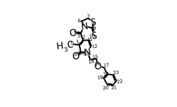 Cc1c(C(=O)N2CCSC2=S)ccn(CCOCc2ccccc2)c1=O